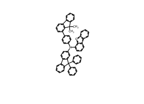 CC1(C)c2ccccc2-c2cccc(-c3ccc(N(c4ccc5c(c4)C(c4ccccc4)(c4ccccc4)c4ccccc4-5)c4cccc5c4oc4ccccc45)cc3)c21